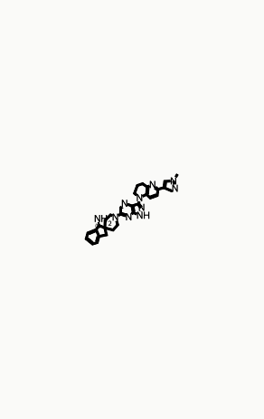 Cn1cc(-c2ccc3c(n2)CCCN3c2n[nH]c3nc(N4CCC5(CC4)Cc4ccccc4[C@H]5N)cnc23)cn1